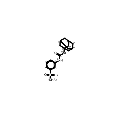 CC(=O)NS(=O)(=O)c1cccc(NC(=O)NC23CC4CC(CC(C4)C2)C3)c1